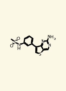 CS(=O)(=O)Nc1cccc(-c2csc3cnc(N)nc23)c1